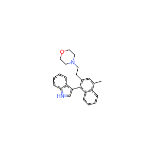 Cc1cc(CCN2CCOCC2)c(-c2c[nH]c3ccccc23)c2ccccc12